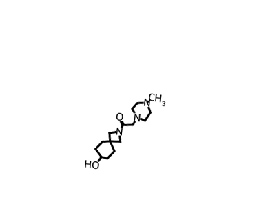 CN1CCN(CC(=O)N2CC3(CCC(O)CC3)C2)CC1